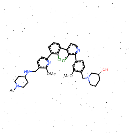 COc1cc(-c2nccc(-c3cccc(-c4ccc(CNC5CCN(C(C)=O)CC5)c(OC)n4)c3Cl)c2Cl)ccc1CN1CCC[C@@H](O)C1